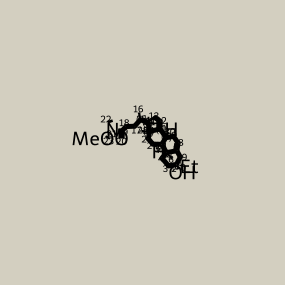 CC[C@]1(O)CC[C@@]2(C)C(=CC[C@H]3[C@@H]4CC[C@H]([C@H](C)CCC(=O)N(C)OC)[C@@]4(C)CC[C@@H]32)C1